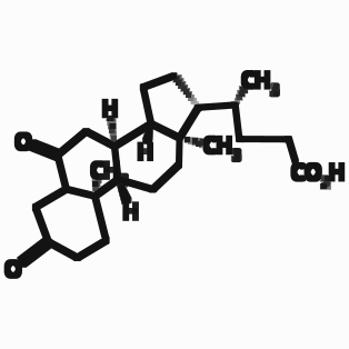 C[C@H](CCC(=O)O)[C@H]1CC[C@H]2[C@@H]3CC(=O)C4CC(=O)CC[C@]4(C)[C@H]3CC[C@]12C